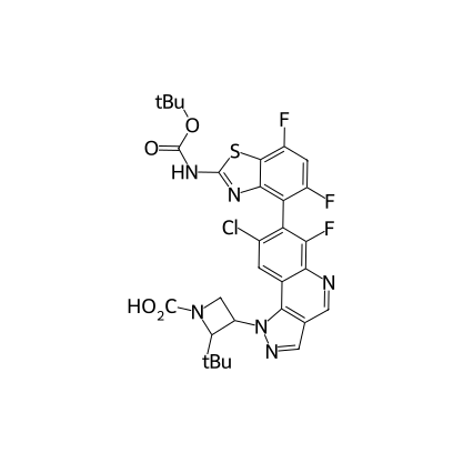 CC(C)(C)OC(=O)Nc1nc2c(-c3c(Cl)cc4c(ncc5cnn(C6CN(C(=O)O)C6C(C)(C)C)c54)c3F)c(F)cc(F)c2s1